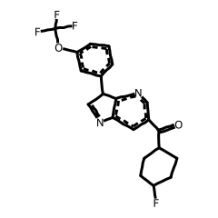 O=C(c1cnc2c(c1)N=CC2c1cccc(OC(F)(F)F)c1)C1CCC(F)CC1